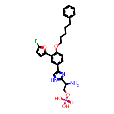 NC(COP(=O)(O)O)c1nc(-c2ccc(OCCCCCc3ccccc3)c(-c3ccc(F)o3)c2)c[nH]1